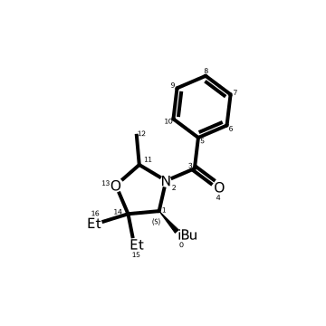 CCC(C)[C@@H]1N(C(=O)c2ccccc2)C(C)OC1(CC)CC